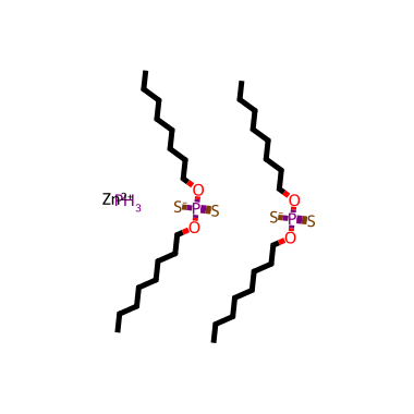 CCCCCCCCOP(=S)([S-])OCCCCCCCC.CCCCCCCCOP(=S)([S-])OCCCCCCCC.P.[Zn+2]